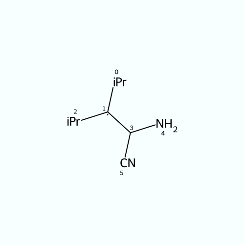 CC(C)[C](C(C)C)C(N)C#N